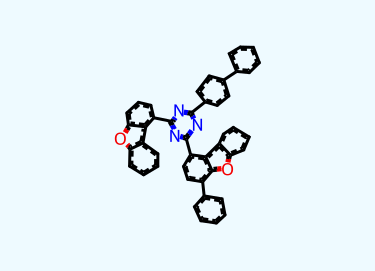 c1ccc(-c2ccc(-c3nc(-c4cccc5oc6ccccc6c45)nc(-c4ccc(-c5ccccc5)c5oc6ccccc6c45)n3)cc2)cc1